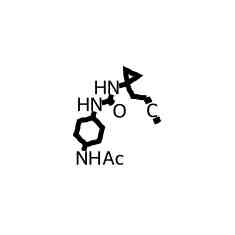 C=C=CCC1(NC(=O)NC2CCC(NC(C)=O)CC2)CC1